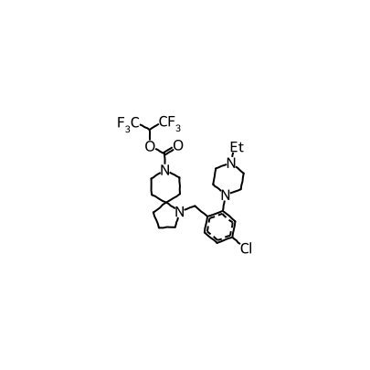 CCN1CCN(c2cc(Cl)ccc2CN2CCCC23CCN(C(=O)OC(C(F)(F)F)C(F)(F)F)CC3)CC1